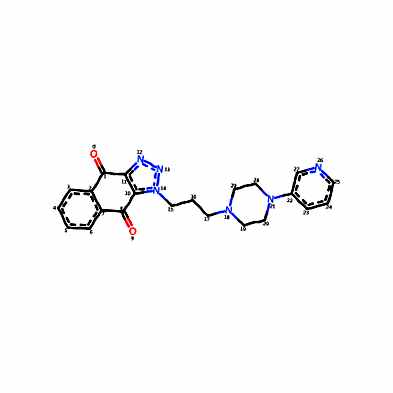 O=C1c2ccccc2C(=O)c2c1nnn2CCCN1CCN(c2cccnc2)CC1